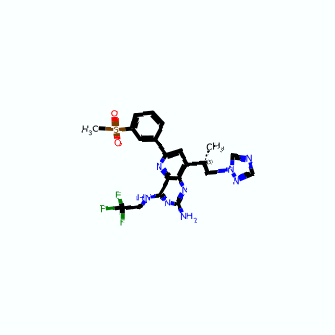 C[C@H](Cn1cncn1)c1cc(-c2cccc(S(C)(=O)=O)c2)nc2c(NCC(F)(F)F)nc(N)nc12